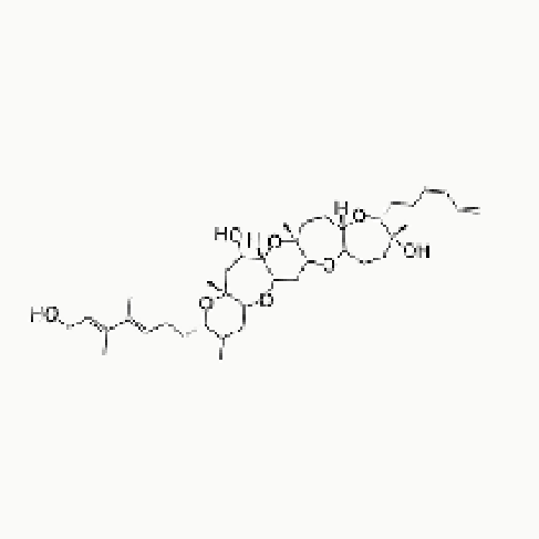 C=C/C=C\CC[C@H]1O[C@H]2CC[C@@]3(C)O[C@H]4C(O)C[C@@]5(C)O[C@@H](CC/C=C(C)/C(C)=C/CO)C(C)CC5OC4CC3OC2CC[C@@]1(C)O